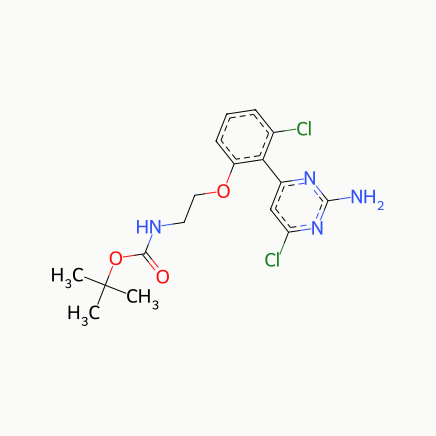 CC(C)(C)OC(=O)NCCOc1cccc(Cl)c1-c1cc(Cl)nc(N)n1